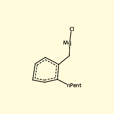 CCCCCc1ccccc1[CH2][Mg][Cl]